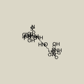 Cc1ncsc1-c1ccc([C@H](CC(=O)NCCCCCCNC(=O)CCCCC#Cc2cccc(Cn3c(-c4ccccc4)c(-c4ccccc4)c4c(=N)n(C5CCC(O)CC5)cnc43)c2)NC(=O)[C@@H]2C[C@@H](O)CN2C(=O)C(NC(=O)C2(F)CC2)C(C)(C)C)cc1